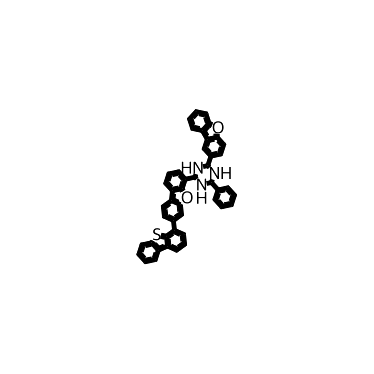 c1ccc(C2NC(c3ccc4oc5ccccc5c4c3)NC(c3cccc4c3oc3cc(-c5cccc6c5sc5ccccc56)ccc34)N2)cc1